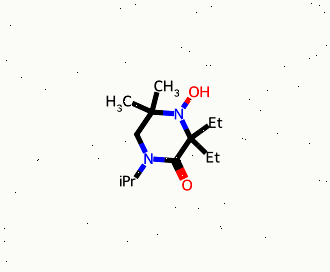 CCC1(CC)C(=O)N(C(C)C)CC(C)(C)N1O